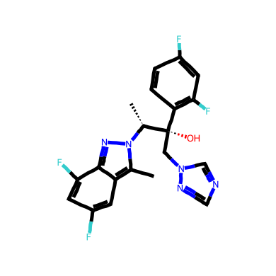 Cc1c2cc(F)cc(F)c2nn1[C@H](C)[C@](O)(Cn1cncn1)c1ccc(F)cc1F